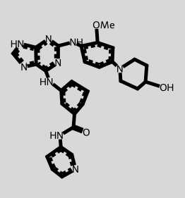 COc1cc(N2CCC(O)CC2)ccc1Nc1nc(Nc2cccc(C(=O)Nc3cccnc3)c2)c2nc[nH]c2n1